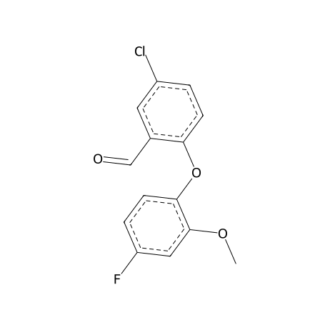 COc1cc(F)ccc1Oc1ccc(Cl)cc1C=O